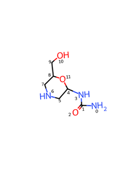 NC(=O)NC1CNCC(CO)O1